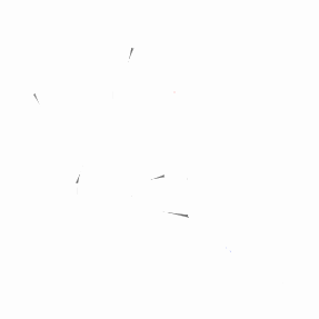 CC[C@@H]1CC[C@@H]2[C@H](CC[C@]3(C)[C@@H](C(=O)CN4CCOCC4)CC[C@@H]23)[C@H]1C[C@@H](C)CO